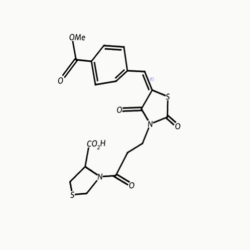 COC(=O)c1ccc(/C=C2/SC(=O)N(CCC(=O)N3CSCC3C(=O)O)C2=O)cc1